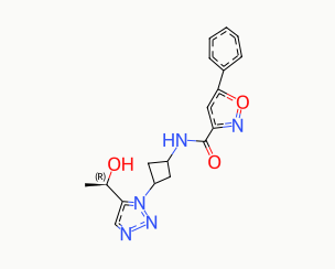 C[C@@H](O)c1cnnn1C1CC(NC(=O)c2cc(-c3ccccc3)on2)C1